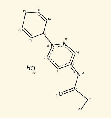 CCC(=O)N=c1ccn(C2C=CCC=C2)nc1.Cl